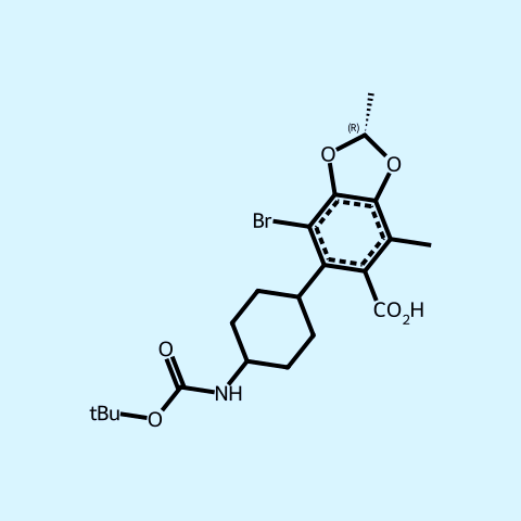 Cc1c2c(c(Br)c(C3CCC(NC(=O)OC(C)(C)C)CC3)c1C(=O)O)O[C@H](C)O2